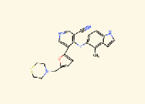 Cc1c(Nc2c(C#N)cncc2-c2ccc(CN3CCSCC3)o2)ccc2[nH]ccc12